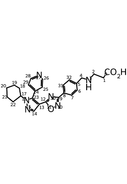 O=C(O)CCNCc1ccc(-c2noc(-c3cnn(C4CCCCC4)c3-c3ccncc3)n2)cc1